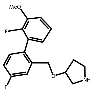 COc1cccc(-c2ccc(F)cc2COC2CCNC2)c1F